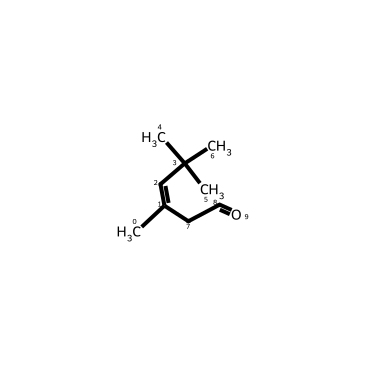 CC(=CC(C)(C)C)CC=O